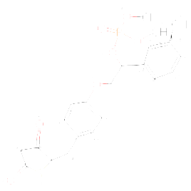 COP(=O)(OC)OC(COc1ccc(CC2SC(=O)CC2=O)cc1)c1cccc(C)c1